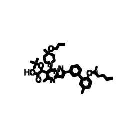 C=CCC[C@H](C)Oc1ccc(C)cc1-c1cccc(-c2cc3nc(C)c(C(OC(C)(C)C)C(=O)O)c(N4CCC(C)(OCC=C)CC4)n3n2)c1